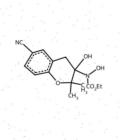 CCOC(=O)N(O)C1(O)Cc2cc(C#N)ccc2OC1(C)C